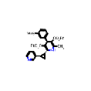 CCOC(=O)C1=C(C)NC([C@@H]2C[C@H]2c2cccnc2)=C(C(=O)OCC)C1c1cccc(SC)c1